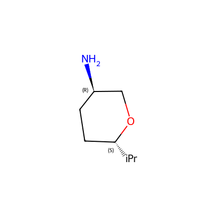 CC(C)[C@@H]1CC[C@@H](N)CO1